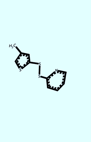 Cc1csc(SSc2ccccn2)c1